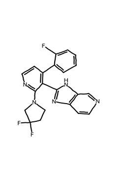 Fc1ccccc1-c1ccnc(N2CCC(F)(F)C2)c1-c1nc2ccncc2[nH]1